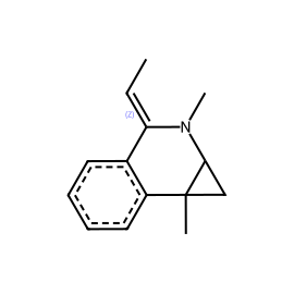 C/C=C1/c2ccccc2C2(C)CC2N1C